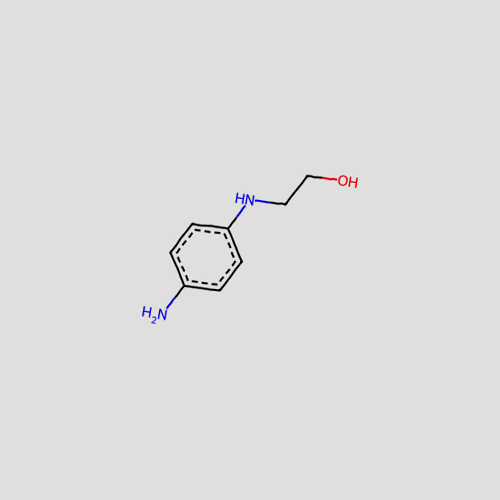 Nc1ccc(NCCO)cc1